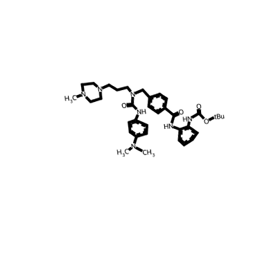 CN1CCN(CCCN(Cc2ccc(C(=O)Nc3ccccc3NC(=O)OC(C)(C)C)cc2)C(=O)Nc2ccc(N(C)C)cc2)CC1